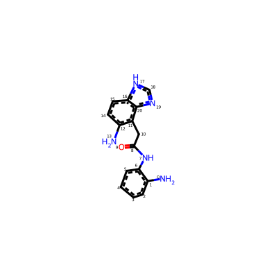 Nc1ccccc1NC(=O)Cc1c(N)ccc2[nH]cnc12